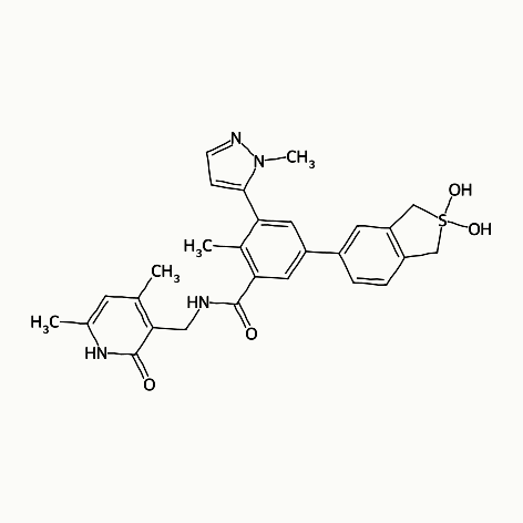 Cc1cc(C)c(CNC(=O)c2cc(-c3ccc4c(c3)CS(O)(O)C4)cc(-c3ccnn3C)c2C)c(=O)[nH]1